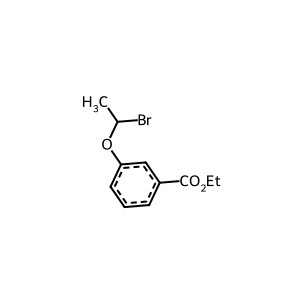 CCOC(=O)c1cccc(OC(C)Br)c1